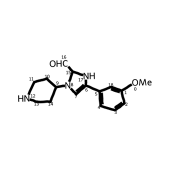 COc1cccc(C2=CN(C3CCNCC3)C(C=O)N2)c1